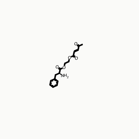 CC(=O)/C=C/C(=O)OCCOC(=O)[C@@H](N)Cc1ccccc1